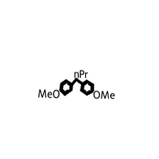 CCCC(c1ccc(OC)cc1)c1ccc(OC)cc1